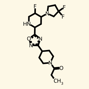 CCC(=O)N1CCC(c2noc(C3CC(N4CCC(F)(F)C4)C(F)CN3)n2)CC1